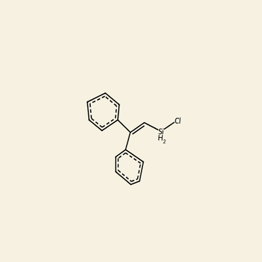 Cl[SiH2]C=C(c1ccccc1)c1ccccc1